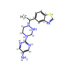 CC(c1ccc2scnc2c1)N1CCN(c2ncc(N)cn2)CN1